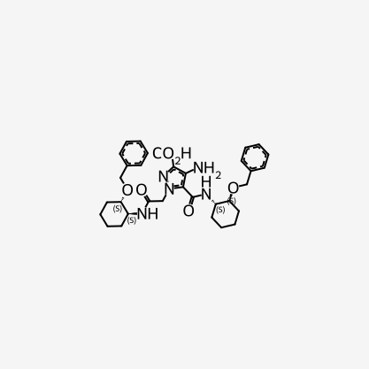 Nc1c(C(=O)O)nn(CC(=O)N[C@H]2CCCC[C@@H]2OCc2ccccc2)c1C(=O)N[C@H]1CCCC[C@@H]1OCc1ccccc1